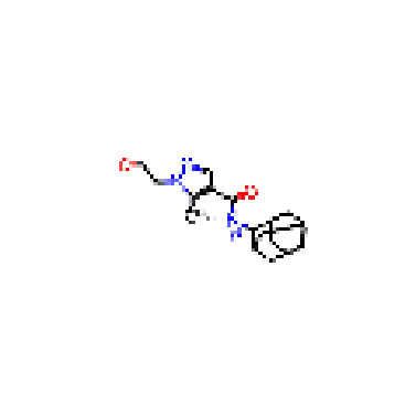 Cc1c(C(=O)NC2C3CC4CC(C3)CC2C4)cnn1CCO